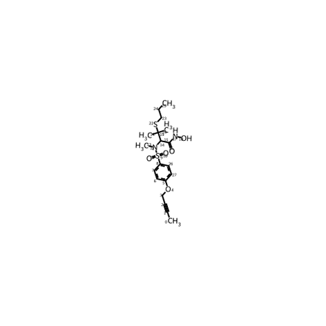 CC#CCOc1ccc(S(=O)(=O)N(C)C(C(=O)NO)C(C)(C)SCCC)cc1